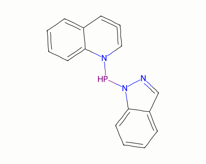 C1=Cc2ccccc2N(Pn2ncc3ccccc32)C=1